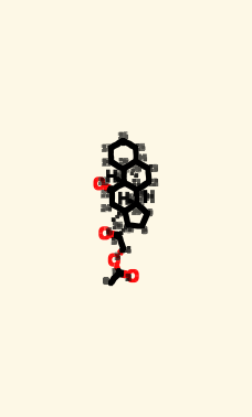 CC(=O)OCC(=O)[C@H]1CC[C@H]2[C@@H]3CCC4C[CH]CC[C@]4(C)[C@H]3C(=O)C[C@]12C